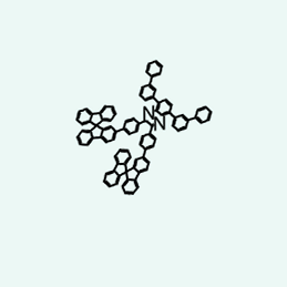 c1ccc(-c2cccc(-c3ccc(-c4cccc(-c5ccccc5)c4)c4nc(-c5ccc(-c6ccc7c(c6)C6(c8ccccc8-c8ccccc86)c6ccccc6-7)cc5)c(-c5ccc(-c6ccc7c(c6)C6(c8ccccc8-c8ccccc86)c6ccccc6-7)cc5)nc34)c2)cc1